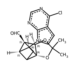 CC1(C)O[C@@H]2[C@]3(C=O)CC4[C@@H]3[C@@H](n3ccc5c(Cl)ncnc53)[C@]42O1